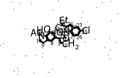 C=CC(c1ccc2c(c1)CCN2C(C)=O)S(=O)(=O)n1c(C(CC)C(=O)O)cc2cc(Cl)ccc21